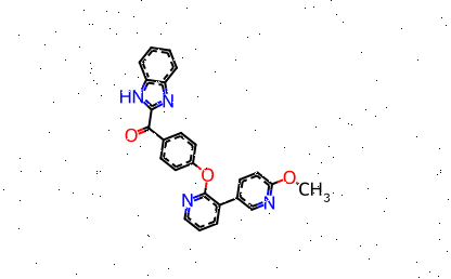 COc1ccc(-c2cccnc2Oc2ccc(C(=O)c3nc4ccccc4[nH]3)cc2)cn1